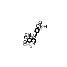 COc1cc2nccc(NCc3ccc(O[PH](=O)O)cc3)c2cc1OC